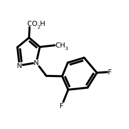 Cc1c(C(=O)O)cnn1Cc1ccc(F)cc1F